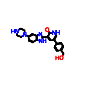 O=c1[nH]cc(-c2ccc(CO)cc2)cc1-c1nc2cc(N3CCNCC3)ccc2[nH]1